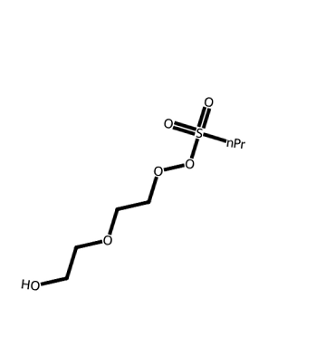 CCCS(=O)(=O)OOCCOCCO